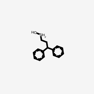 O[SiH2]CCC(c1ccccc1)c1ccccc1